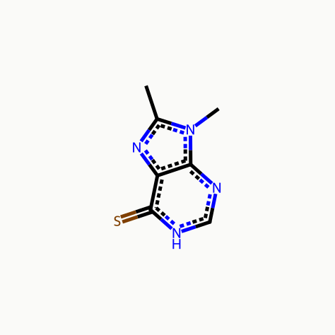 Cc1nc2c(=S)[nH]cnc2n1C